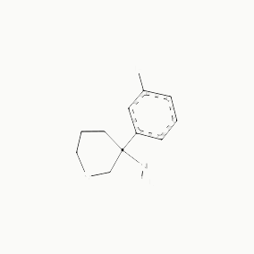 CNC1(c2cccc(Br)c2)CCCNC1